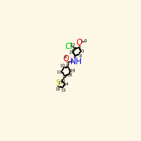 COc1ccc(NC(=O)c2ccc(-c3cccs3)cc2)cc1Cl